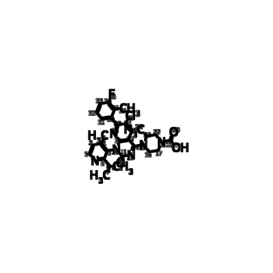 Cc1ccnc(C(C)C)c1-n1c(=O)nc(N2CCN(C(=O)O)CC2C)c2cc(Cl)c(-c3cccc(F)c3C)nc21